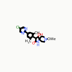 CON1CCC2(CC1)NC(=O)C(c1c(C)cc(-c3ncc(Cl)cn3)cc1C)C2O